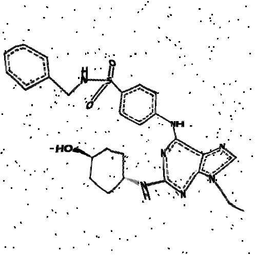 CCn1cnc2c(Nc3ccc(S(=O)(=O)NCc4ccccc4)cc3)nc(N[C@H]3CC[C@H](O)CC3)nc21